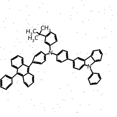 CC(C)(C)c1cccc(N(c2ccc(-c3ccc4c(c3)c3ccccc3n4-c3ccccc3)cc2)c2ccc(-c3c4ccccc4c(-c4ccccc4)c4ccccc34)cc2)c1